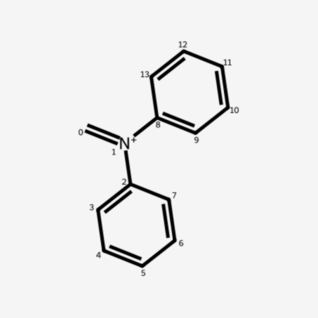 C=[N+](c1ccccc1)c1ccccc1